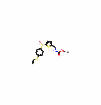 C=CSc1ccc([S+]([O-])c2ccc(CNC(=O)OC(C)(C)C)s2)cc1